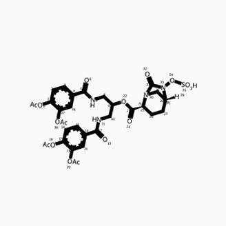 CC(=O)Oc1ccc(C(=O)NCC(CNC(=O)c2ccc(OC(C)=O)c(OC(C)=O)c2)OC(=O)[C@@H]2CC[C@@H]3CN2C(=O)N3OS(=O)(=O)O)cc1OC(C)=O